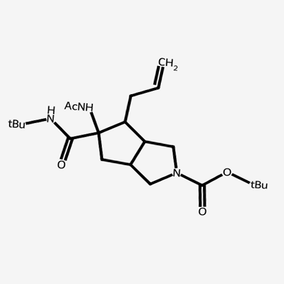 C=CCC1C2CN(C(=O)OC(C)(C)C)CC2CC1(NC(C)=O)C(=O)NC(C)(C)C